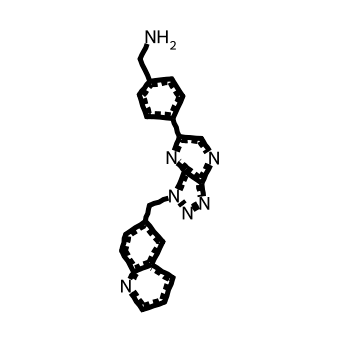 NCc1ccc(-c2cnc3nnn(Cc4ccc5ncccc5c4)c3n2)cc1